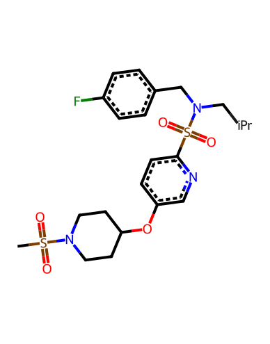 CC(C)CN(Cc1ccc(F)cc1)S(=O)(=O)c1ccc(OC2CCN(S(C)(=O)=O)CC2)cn1